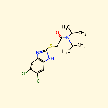 CC(C)N(C(=O)CSc1nc2cc(Cl)c(Cl)cc2[nH]1)C(C)C